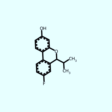 CC(C)C1Oc2cc(O)ccc2-c2ccc(F)cc21